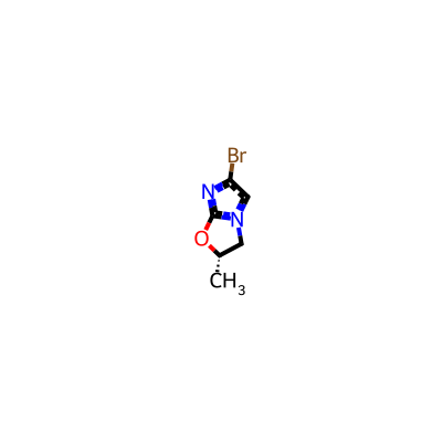 C[C@H]1Cn2cc(Br)nc2O1